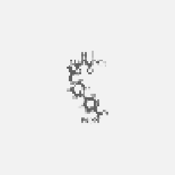 CCNC(=O)Nc1ncc(CN2CCN(c3ccc(C(=O)NC)nc3)CC2)o1